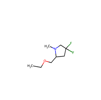 CCOCC1CC(F)(F)CN1C